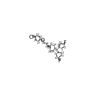 Fc1ccc(C(c2ccc(F)cc2)C2CCN(CCCOc3ccc(Cl)cc3)CC2)cc1